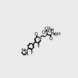 CS(=O)(=O)[C@H](CCn1cc(F)c(-c2ccc(-n3nccn3)c(F)c2)cc1=O)C(=O)NO